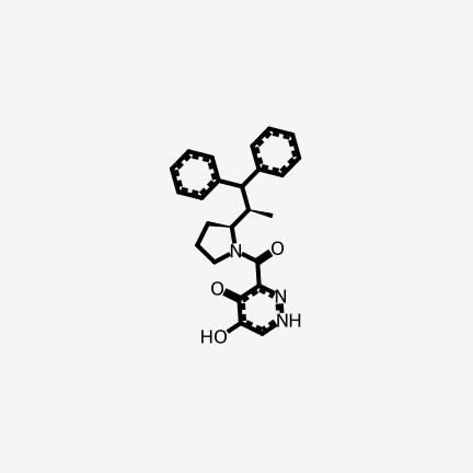 C[C@H](C(c1ccccc1)c1ccccc1)[C@@H]1CCCN1C(=O)c1n[nH]cc(O)c1=O